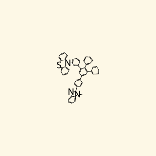 Cn1c(-c2ccc(-c3cc(-c4ccccc4)c(-c4ccccc4)c(-c4cccc(N5c6ccccc6Sc6ccccc65)c4)c3)cc2)nc2ccccc21